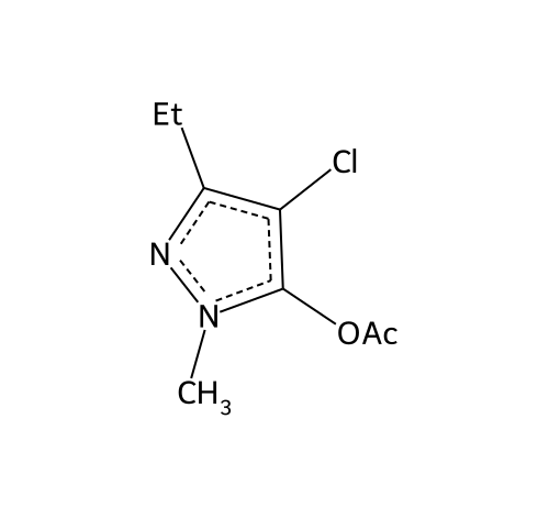 CCc1nn(C)c(OC(C)=O)c1Cl